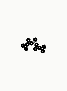 c1ccc(N(c2ccc3c(c2)c2ccccc2c2cc4c5ccccc5c5ccccc5c4cc32)c2ccc3c(c2)c2ccccc2c2cc4c5ccccc5c5ccccc5c4cc32)cc1